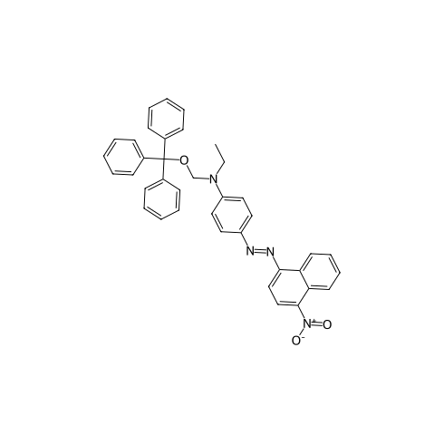 CCN(COC(c1ccccc1)(c1ccccc1)c1ccccc1)c1ccc(N=Nc2ccc([N+](=O)[O-])c3ccccc23)cc1